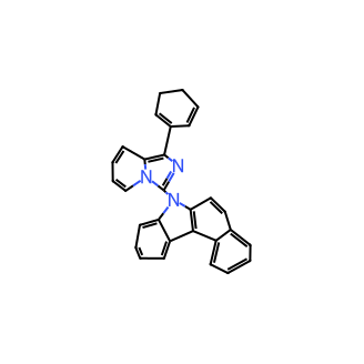 C1=CC(c2nc(-n3c4ccccc4c4c5ccccc5ccc43)n3ccccc23)=CCC1